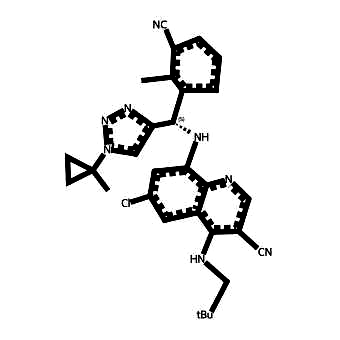 Cc1c(C#N)cccc1[C@H](Nc1cc(Cl)cc2c(NCC(C)(C)C)c(C#N)cnc12)c1cn(C2(C)CC2)nn1